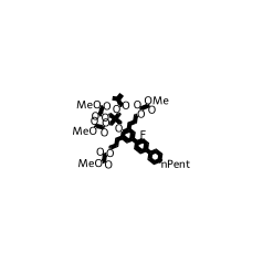 C=C(C)C(=O)OCC(COC(=O)C(=O)OC)(COC(=O)C(=O)OC)COc1c(CCCOC(=O)C(=O)OC)cc(-c2ccc(C3CCC(CCCCC)CC3)cc2F)cc1CCCOC(=O)C(=O)OC